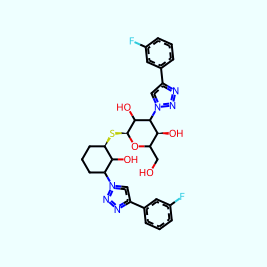 OCC1O[C@@H](S[C@@H]2CCCC(n3cc(-c4cccc(F)c4)nn3)C2O)C(O)C(n2cc(-c3cccc(F)c3)nn2)[C@H]1O